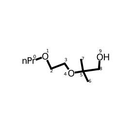 CCCOCCOC(C)(C)CO